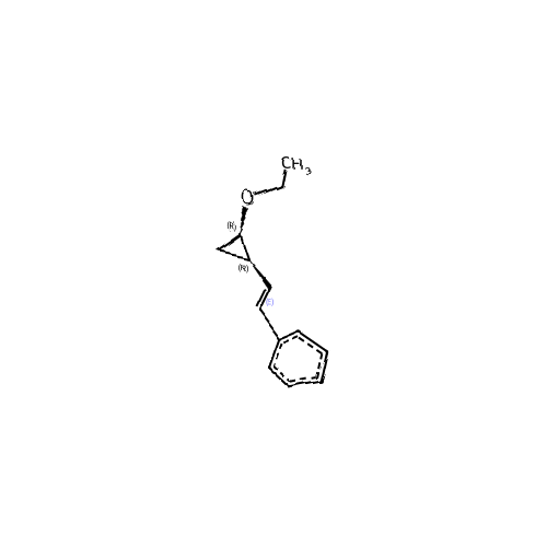 CCO[C@@H]1C[C@@H]1/C=C/c1ccccc1